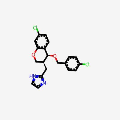 Clc1ccc(CO[C@@H]2c3ccc(Cl)cc3OC[C@@H]2Cc2ncc[nH]2)cc1